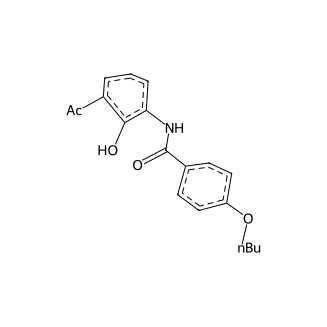 CCCCOc1ccc(C(=O)Nc2cccc(C(C)=O)c2O)cc1